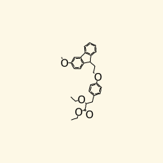 CCOC(=O)C(Cc1ccc(OCCC2c3ccccc3-c3cc(OC)ccc32)cc1)OCC